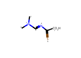 CN(C)C=NC(=S)C(=O)O